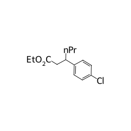 CCCC(CC(=O)OCC)c1ccc(Cl)cc1